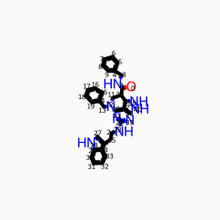 O=C(NCc1ccccc1)C1CN(Cc2ccccc2)c2nc(NCCc3c[nH]c4ccccc34)nc3c2C1NN3